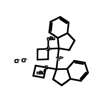 CCCC[Si]1([C]2([Ti+2][C]3([Si]4(CCCC)CCC4)CCC4C=CC=CC43)CCC3C=CC=CC32)CCC1.[Cl-].[Cl-]